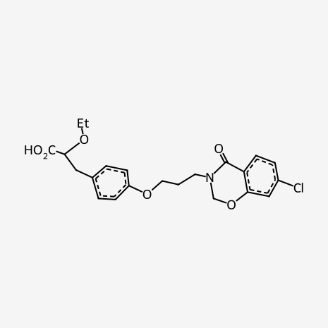 CCOC(Cc1ccc(OCCCN2COc3cc(Cl)ccc3C2=O)cc1)C(=O)O